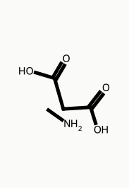 CN.O=C(O)CC(=O)O